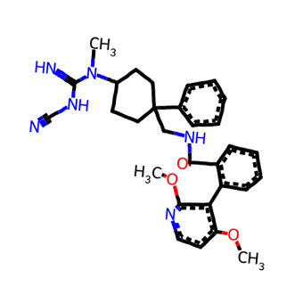 COc1ccnc(OC)c1-c1ccccc1C(=O)NCC1(c2ccccc2)CCC(N(C)C(=N)NC#N)CC1